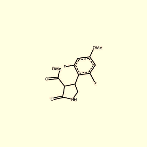 COC(=O)C1C(=O)NCC1c1c(F)cc(OC)cc1F